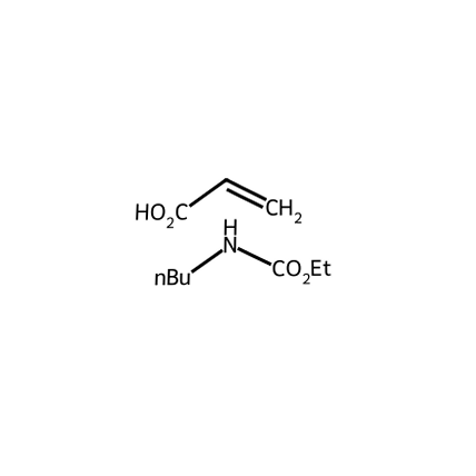 C=CC(=O)O.CCCCNC(=O)OCC